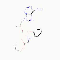 C[C@@H](Cn1cnc2c(N)ncnc21)OC[P@@](=O)(N[C@H](C)C1OCCCCO1)Oc1ccccc1